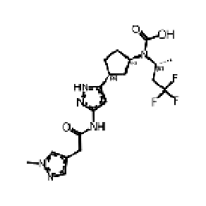 C[C@H](CC(F)(F)F)N(C(=O)O)[C@@H]1CC[C@H](c2cc(NC(=O)Cc3cnn(C)c3)n[nH]2)C1